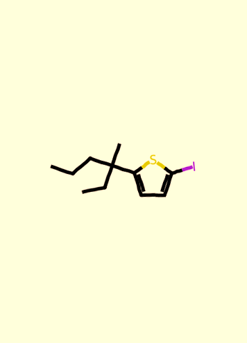 CCCC(C)(CC)c1ccc(I)s1